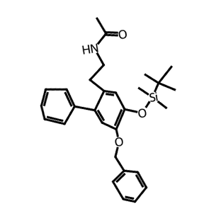 CC(=O)NCCc1cc(O[Si](C)(C)C(C)(C)C)c(OCc2ccccc2)cc1-c1ccccc1